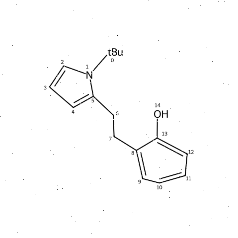 CC(C)(C)n1cccc1CCc1ccccc1O